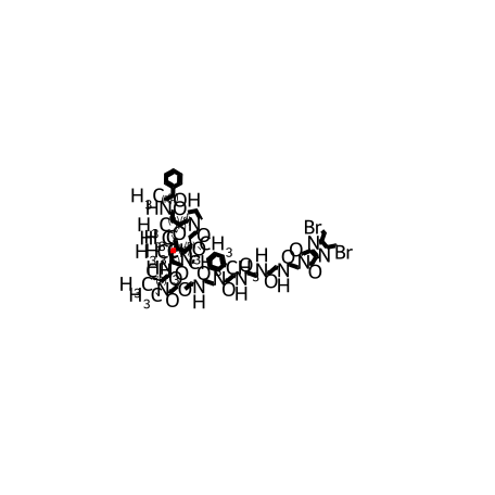 CC[C@H](C)[C@@H]([C@@H](CC(=O)N1CCC[C@H]1[C@H](OC)[C@@H](C)C(=O)N[C@H](C)[C@@H](O)c1ccccc1)OC)N(C)C(=O)[C@@H](NC(=O)[C@H](C(C)C)N(C)C(=O)COCNC(=O)CN(C(=O)CNC(=O)CNC(=O)CNC(=O)CN1C(=O)c2nc(CBr)c(CBr)nc2C1=O)c1ccccc1C)C(C)C